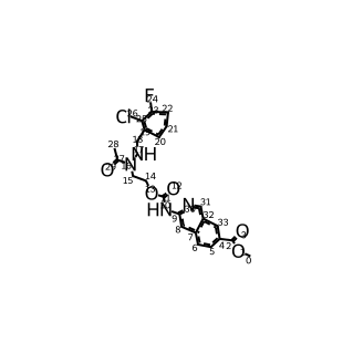 COC(=O)c1ccc2cc(NC(=O)OCCN(NCc3cccc(F)c3Cl)C(C)=O)ncc2c1